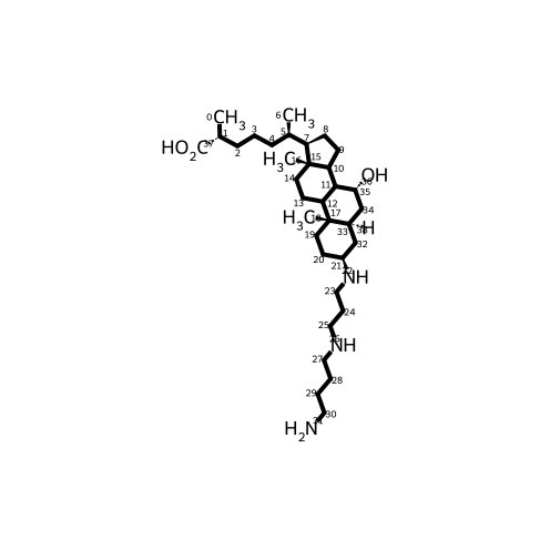 C[C@H](CCC[C@@H](C)[C@H]1CCC2C3C(CC[C@@]21C)[C@@]1(C)CC[C@H](NCCCNCCCCN)C[C@@H]1C[C@H]3O)C(=O)O